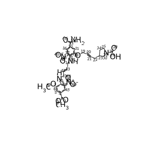 COC(=O)c1cc(OC)c(NCC=CCNc2c(OCC#CCC3CCN(C(=O)O)C3)cc(C(N)=O)cc2[N+](=O)[O-])c([N+](=O)[O-])c1